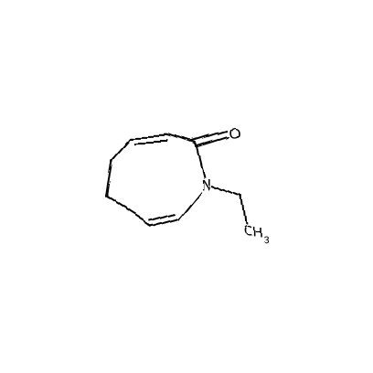 CCN1/C=C\CC/C=C\C1=O